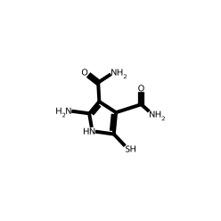 NC(=O)c1c(N)[nH]c(S)c1C(N)=O